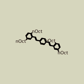 CCCCCCCCc1ccc(CCCCCCCC)c(C=Cc2ccc(C=Cc3cc(CCCCCCCC)ccc3CCCCCCCC)cc2)c1